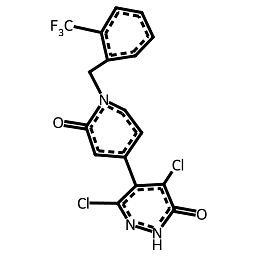 O=c1[nH]nc(Cl)c(-c2ccn(Cc3ccccc3C(F)(F)F)c(=O)c2)c1Cl